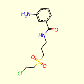 Nc1cccc(C(=O)NCCCS(=O)(=O)CCCl)c1